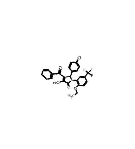 CCOc1ccc(C(F)(F)F)cc1N1C(=O)C(O)=C(C(=O)c2ccccc2)C1c1ccc(Cl)cc1